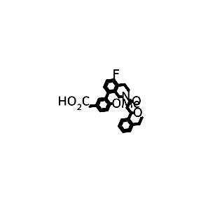 COc1ccc(CC(=O)O)cc1-c1ccc(F)c2c1CN(C(=O)CC1OCCc3ccccc31)CC2